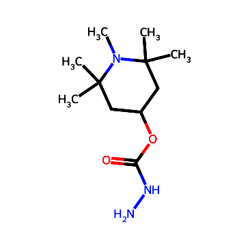 CN1C(C)(C)CC(OC(=O)NN)CC1(C)C